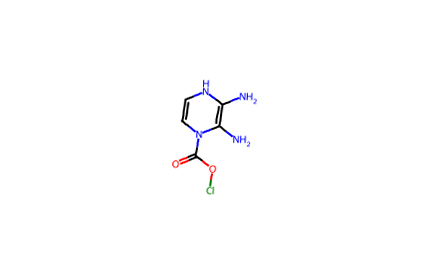 NC1=C(N)N(C(=O)OCl)C=CN1